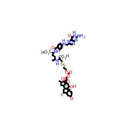 C=C(CCC(NC(=O)c1ccc(NCc2cnc3nc(N)[nH]c(=O)c3n2)cc1)C(=O)O)NC(CSSCCOC(=O)OCC(=O)C1(O)C(C)CC2C3CC(F)C4=CC(=O)C=CC4(C)C3(F)C(O)CC21C)C(=O)O